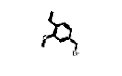 C=Cc1ccc(CBr)cc1OC